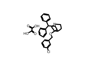 Clc1cccc(COC2C3CCN(CC3)C2C(c2ccccc2)c2ccccc2)c1.O=C(O)C(=O)O